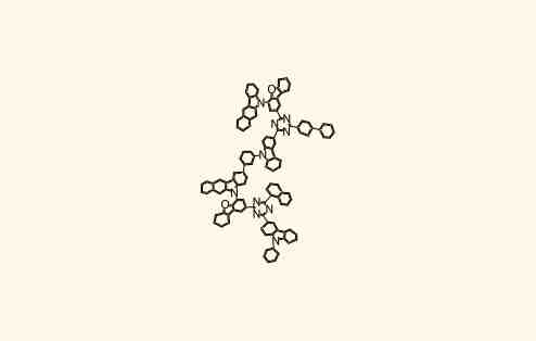 c1ccc(-c2ccc(-c3nc(-c4cc(-n5c6ccccc6c6cc7ccccc7cc65)c5oc6ccccc6c5c4)nc(-c4ccc5c(c4)c4ccccc4n5-c4cccc(-c5ccc6c(c5)c5cc7ccccc7cc5n6-c5cc(-c6nc(-c7ccc8c(c7)c7ccccc7n8-c7ccccc7)nc(-c7cccc8ccccc78)n6)cc6c5oc5ccccc56)c4)n3)cc2)cc1